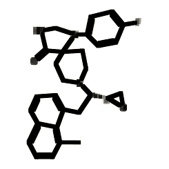 Cc1cccc2cccc(CC([C@@H]3CO3)N3CCC4(CC3)C(=O)NCN4c3ccc(F)cc3)c12